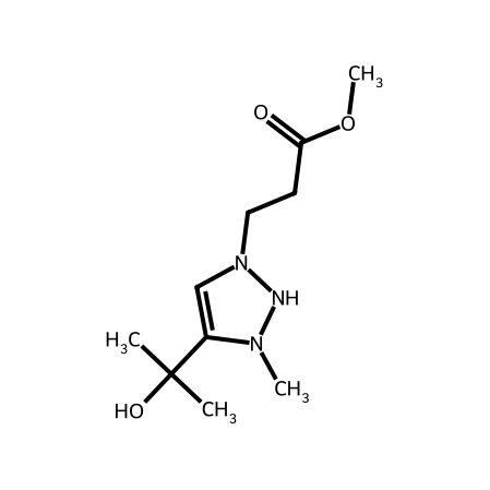 COC(=O)CCN1C=C(C(C)(C)O)N(C)N1